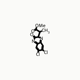 COC(=O)C(C)C1N=c2cc(Cl)c(Cl)cc2=NC1=O